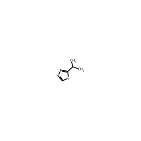 CC(C)c1nn[c]s1